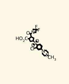 CN1CCN(c2ccc(S(=O)(=O)C3CC(C(=O)O)C(C(=O)N4CC(F)(F)C4)C3)c(Cl)c2)CC1